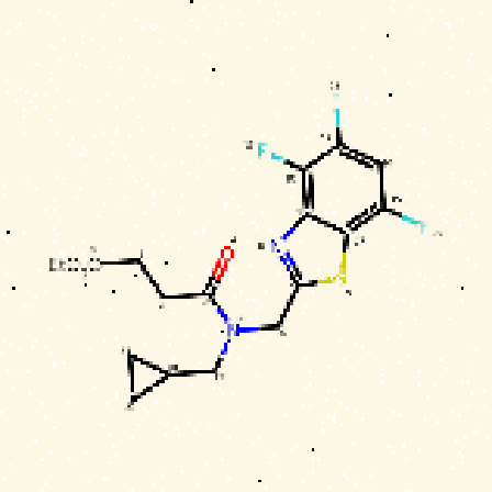 CCOC(=O)CCC(=O)N(Cc1nc2c(F)c(F)cc(F)c2s1)CC1CC1